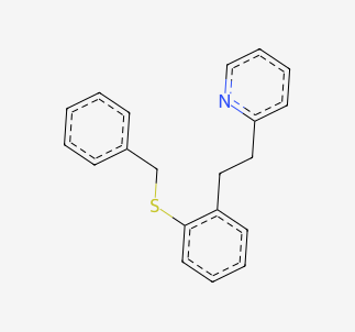 c1ccc(CSc2ccccc2CCc2ccccn2)cc1